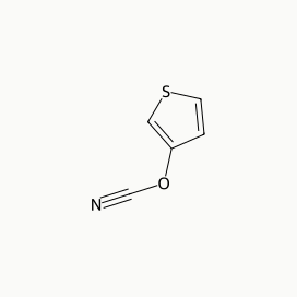 N#COc1ccsc1